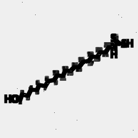 OCCCCCCCCCCCCCCCCCCCCCCNC(=S)S